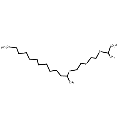 CC(CCCCCCCCCCC(=O)O)SCCOCCSC(C)C(=O)O